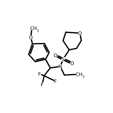 CCN(C(c1ccc(OC)cc1)C(F)(F)F)S(=O)(=O)C1CCOCC1